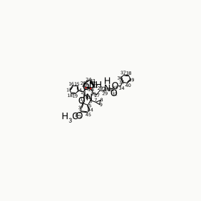 COc1ccc([C@@H](C2CC2)N(C(=O)C(c2ccccc2)c2ccccc2)[C@H](CCCNC(=O)OCc2ccccc2)C(N)=O)cc1